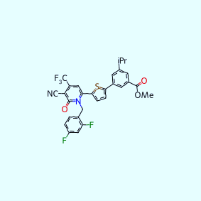 COC(=O)c1cc(-c2ccc(-c3cc(C(F)(F)F)c(C#N)c(=O)n3Cc3ccc(F)cc3F)s2)cc(C(C)C)c1